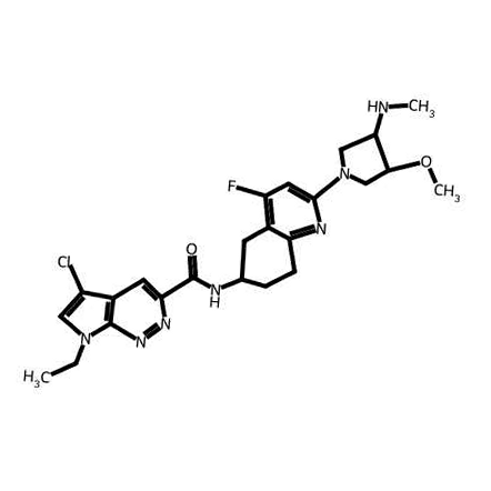 CCn1cc(Cl)c2cc(C(=O)NC3CCc4nc(N5CC(NC)C(OC)C5)cc(F)c4C3)nnc21